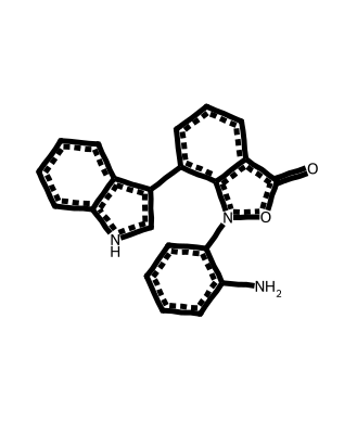 Nc1ccccc1-n1oc(=O)c2cccc(-c3c[nH]c4ccccc34)c21